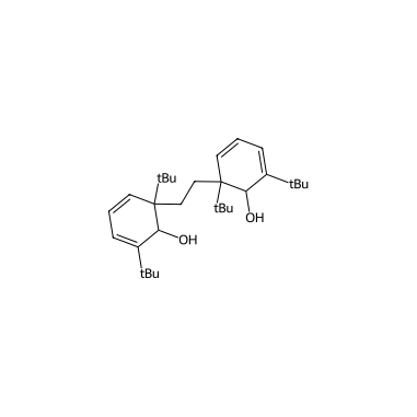 CC(C)(C)C1=CC=CC(CCC2(C(C)(C)C)C=CC=C(C(C)(C)C)C2O)(C(C)(C)C)C1O